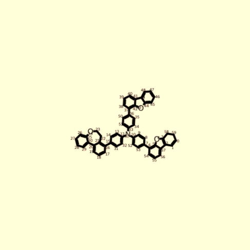 C1=Cc2c(oc3c(-c4ccc(N(c5ccc(-c6cccc7c6CCOc6ccccc6-7)cc5)c5ccc(-c6cccc7c6oc6ccccc67)cc5)cc4)cccc23)CC1